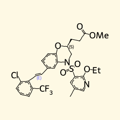 CCOc1ncc(C)cc1S(=O)(=O)N1C[C@H](CCC(=O)OC)Oc2ccc(/C=C/c3c(Cl)cccc3C(F)(F)F)cc21